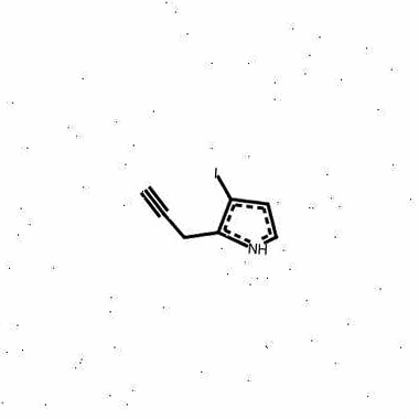 C#CCc1[nH]ccc1I